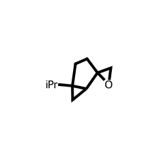 CC(C)C12CCC3(CO3)C1C2